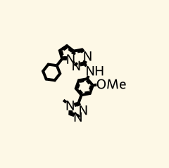 COc1cc(-c2nncn2C)ccc1Nc1ncc2ccc(C3CCCCC3)n2n1